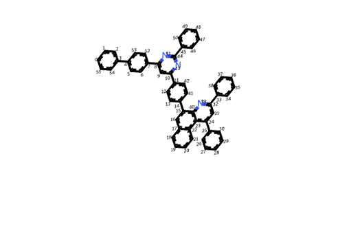 c1ccc(-c2ccc(-c3cc(-c4ccc(-c5cc6ccccc6c6c(-c7ccccc7)cc(-c7ccccc7)nc56)cc4)nc(-c4ccccc4)n3)cc2)cc1